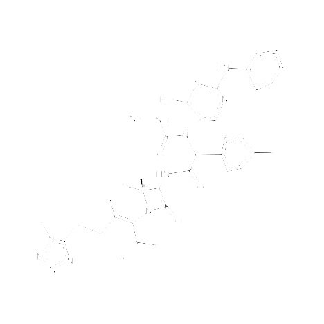 Cn1nnnc1SCC1=C(C(=O)[O-])N2C(=O)C(NC(=O)C(c3ccc(O)cc3)N(C(N)=O)c3cnc(Nc4ccccc4)nc3O)[C@H]2SC1.[Na+]